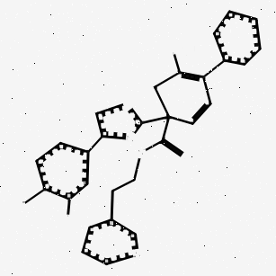 O=C(O)C1=C(c2ccccc2)C=CC(C(=O)NCCc2cccnc2)(c2nc(-c3ccc(Cl)c(Cl)c3)cs2)C1